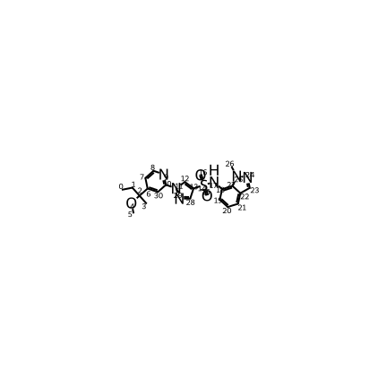 CCC(C)(OC)c1ccnc(-n2cc(S(=O)(=O)Nc3cccc4cnn(C)c34)cn2)c1